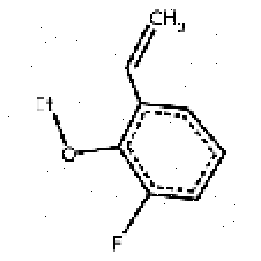 C=Cc1cccc(F)c1OCC